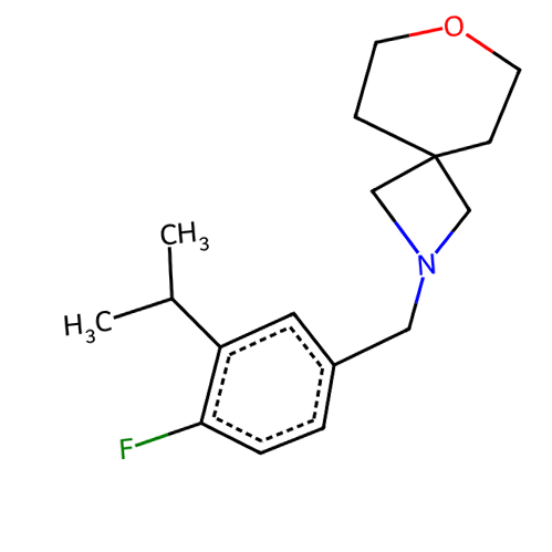 CC(C)c1cc(CN2CC3(CCOCC3)C2)ccc1F